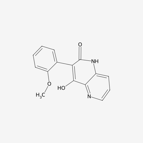 COc1ccccc1-c1c(O)c2ncccc2[nH]c1=O